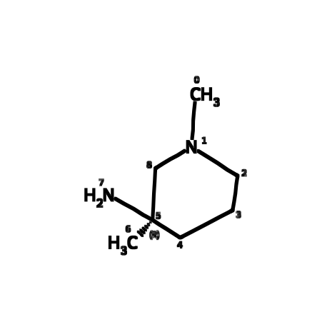 CN1CCC[C@@](C)(N)C1